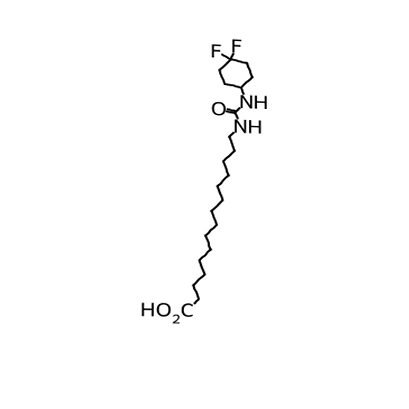 O=C(O)CCCCCCCCCCCCCCNC(=O)NC1CCC(F)(F)CC1